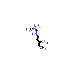 C/C=C(\C)CCNCN(C)C